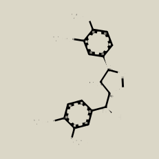 COc1ccc([C@H]2OC[C@H]([C@@H](O)c3ccc(OC)c(OC)c3)[C@@H]2C)cc1OC